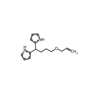 C=CCOCCCC(c1ccc[nH]1)c1ccc[nH]1